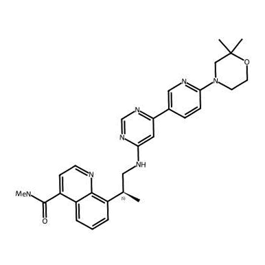 CNC(=O)c1ccnc2c([C@H](C)CNc3cc(-c4ccc(N5CCOC(C)(C)C5)nc4)ncn3)cccc12